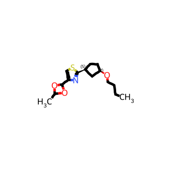 CCCCO[C@@H]1CC[C@H](c2nc(C3OC(C)O3)cs2)C1